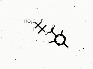 CC(C)(OC(=O)c1c(I)cc(I)cc1I)C(F)(F)C(=O)O